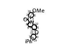 COC1CCN(C(=O)c2ccc3cc(OC4CCN(C(C)C)CC4)ccc3n2)CC1